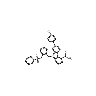 NC(=O)c1cccc2c1c1[c]cc(-c3ccc(Cl)cc3)cc1n2Cc1ccccc1CS(=O)(=O)c1ccccc1